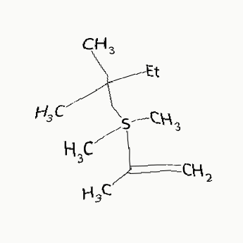 C=C(C)S(C)(C)C(C)(C)CC